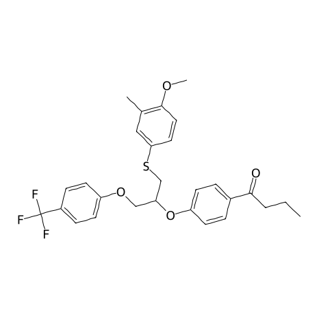 CCCC(=O)c1ccc(OC(COc2ccc(C(F)(F)F)cc2)CSc2ccc(OC)c(C)c2)cc1